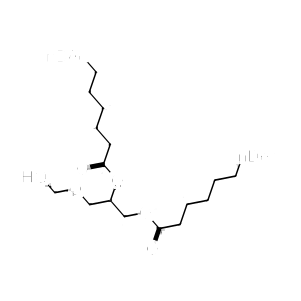 CCCCCCCCCCCCCCCC(=O)OCC(COCO)OC(=O)CCCCCCCCCCCCCCC